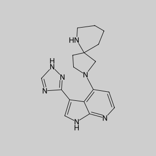 c1cc(N2CCC3(CCCCN3)C2)c2c(-c3nc[nH]n3)c[nH]c2n1